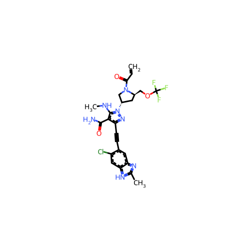 C=CC(=O)N1C[C@@H](n2nc(C#Cc3cc4nc(C)[nH]c4cc3Cl)c(C(N)=O)c2NC)C[C@@H]1COC(F)(F)F